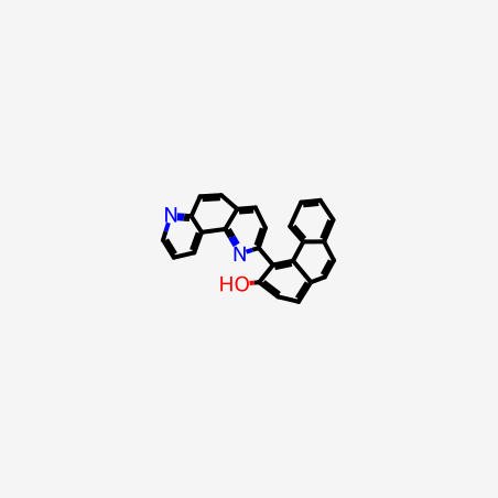 Oc1ccc2ccc3ccccc3c2c1-c1ccc2ccc3ncccc3c2n1